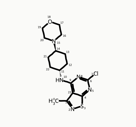 Cc1nsc2nc(Cl)nc(N[C@H]3CC[C@H](N4CCOCC4)CC3)c12